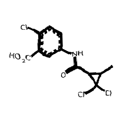 CC1C(C(=O)Nc2ccc(Cl)c(C(=O)O)c2)C1(Cl)Cl